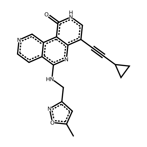 Cc1cc(CNc2nc3c(C#CC4CC4)c[nH]c(=O)c3c3cnccc23)no1